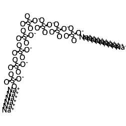 O=S(=O)([O-])[O-].O=S(=O)([O-])[O-].O=S(=O)([O-])[O-].O=S(=O)([O-])[O-].O=S(=O)([O-])[O-].O=S(=O)([O-])[O-].O=S(=O)([O-])[O-].O=S(=O)([O-])[O-].[Na+].[Na+].[Na+].[Na+].[Na+].[Na+].[Na+].[Na+].[Na+].[Na+].[Na+].[Na+].[Na+].[Na+].[Na+].[Na+]